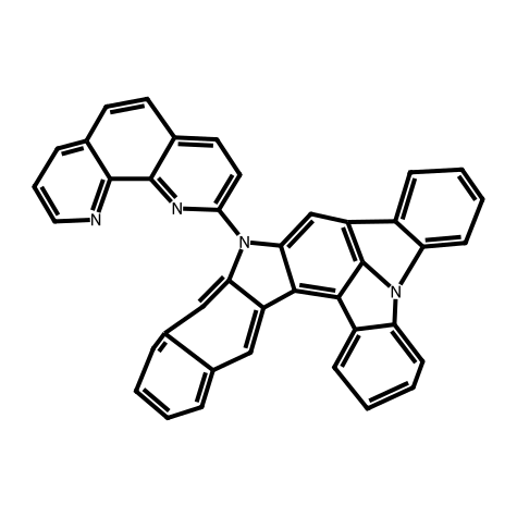 c1ccc2cc3c(cc2c1)c1c2c4ccccc4n4c5ccccc5c(cc1n3-c1ccc3ccc5cccnc5c3n1)c24